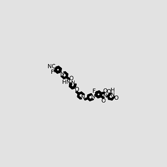 N#Cc1ccc(N2CCC(C(=O)Nc3ccc(OCC4CCN(CC5CCN(c6cc7c(cc6F)C(=O)N(C6CCC(=O)NC6=O)C7=O)CC5)CC4)cn3)CC2)cc1F